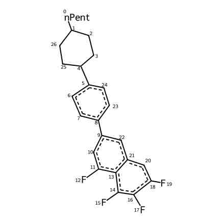 CCCCCC1CCC(c2ccc(-c3cc(F)c4c(F)c(F)c(F)cc4c3)cc2)CC1